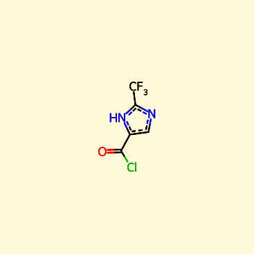 O=C(Cl)c1cnc(C(F)(F)F)[nH]1